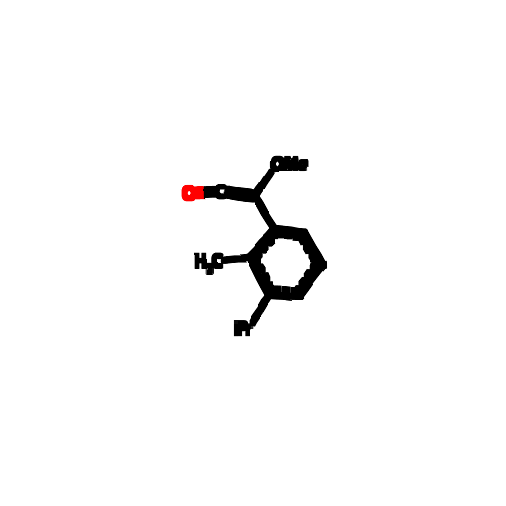 COC(=C=O)c1cccc(C(C)C)c1C